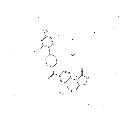 COc1cc(C(=O)N2CCN(c3ncc(C)cc3C)CC2)ccc1N1C(=O)OC[C@H]1C.Cl